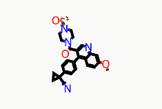 COc1ccc2c(-c3ccc(C4(C#N)CC4)cc3)c(C(=O)N3CCN([S+](C)[O-])CC3)cnc2c1